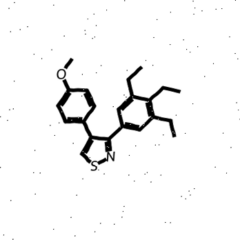 CCc1cc(-c2nscc2-c2ccc(OC)cc2)cc(CC)c1CC